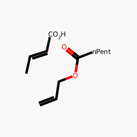 C=CCOC(=O)CCCCC.CC=CC(=O)O